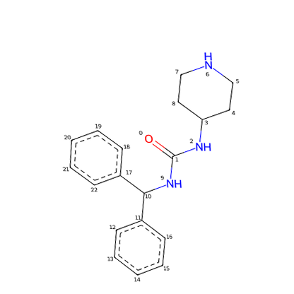 O=C(NC1CCNCC1)NC(c1ccccc1)c1ccccc1